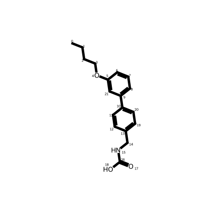 CCCCOc1cccc(-c2ccc(CNC(=O)O)cc2)c1